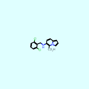 O=C(O)c1c(NCc2c(Cl)cccc2Cl)ccc2cccn12